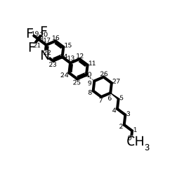 CCCCCC[C@H]1CC[C@H](c2ccc(-c3ccc(C(F)(F)F)nc3)cc2)CC1